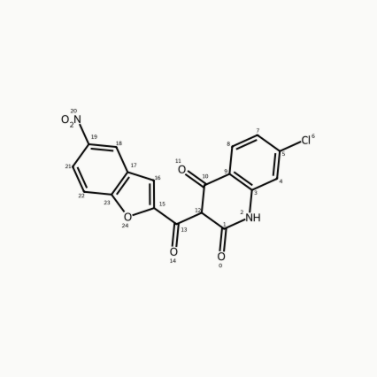 O=C1Nc2cc(Cl)ccc2C(=O)C1C(=O)c1cc2cc([N+](=O)[O-])ccc2o1